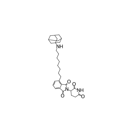 O=C1CCC(N2C(=O)c3cccc(CCCCCCCCNC45CC6CC(CC(C6)C4)C5)c3C2=O)C(=O)N1